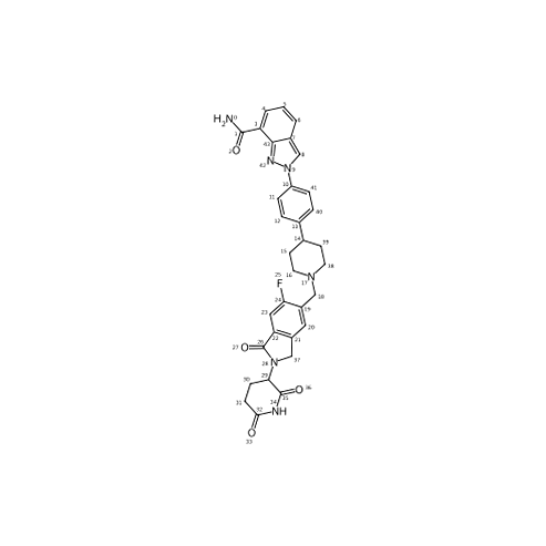 NC(=O)c1cccc2cn(-c3ccc(C4CCN(Cc5cc6c(cc5F)C(=O)N(C5CCC(=O)NC5=O)C6)CC4)cc3)nc12